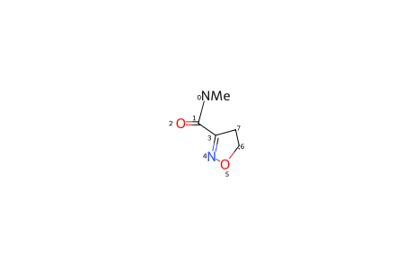 CNC(=O)C1=NO[CH]C1